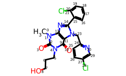 Cn1c(=O)n(CCCO)c(=O)c2c1nc(-c1ccccc1Cl)n2Cc1ccc(Cl)cn1